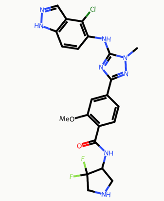 COc1cc(-c2nc(Nc3ccc4[nH]ncc4c3Cl)n(C)n2)ccc1C(=O)NC1CNCC1(F)F